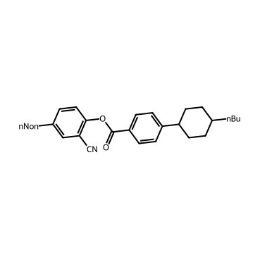 CCCCCCCCCc1ccc(OC(=O)c2ccc(C3CCC(CCCC)CC3)cc2)c(C#N)c1